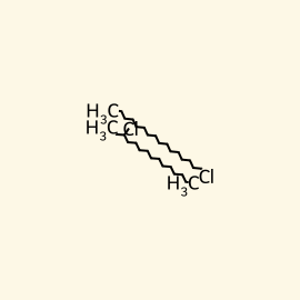 CCCCCCCCCCCCC(Cl)CC.CCCCCCCCCCCCCCCCCl